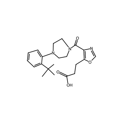 CC(C)(C)c1ccccc1N1CCN(C(=O)c2ncoc2CCC(=O)O)CC1